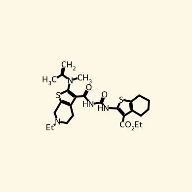 C=C(C)N(C)c1sc2c(c1C(=O)NC(=O)Nc1sc3c(c1C(=O)OCC)CCCC3)CCN(CC)C2